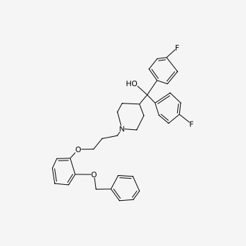 OC(c1ccc(F)cc1)(c1ccc(F)cc1)C1CCN(CCCOc2ccccc2OCc2ccccc2)CC1